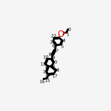 CCOc1ccc(C#Cc2ccc3cc(CC)ccc3c2)cc1